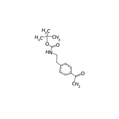 CC(=O)c1ccc(CCNC(=O)OC(C)(C)C)cc1